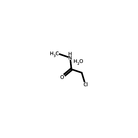 CNC(=O)CCl.O